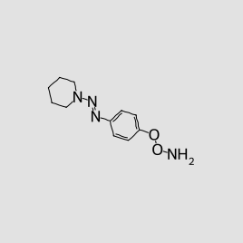 NOOc1ccc(/N=N/N2CCCCC2)cc1